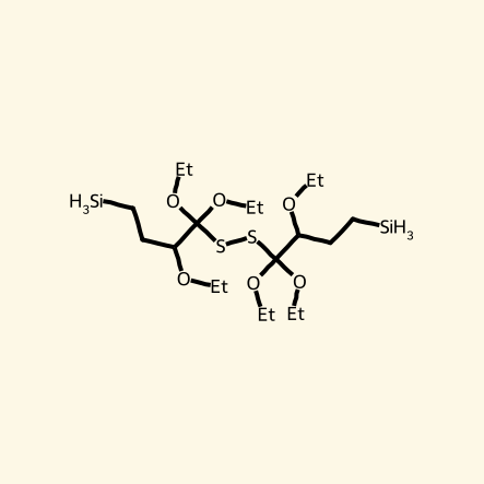 CCOC(CC[SiH3])C(OCC)(OCC)SSC(OCC)(OCC)C(CC[SiH3])OCC